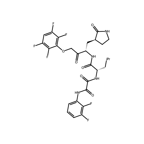 CC(C)C[C@H](NC(=O)C(=O)Nc1cccc(F)c1F)C(=O)N[C@@H](C[C@@H]1CCNC1=O)C(=O)COc1c(F)c(F)cc(F)c1F